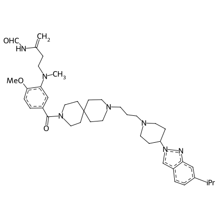 C=C(CCN(C)c1cc(C(=O)N2CCC3(CCN(CCCN4CCC(n5cc6ccc(C(C)C)cc6n5)CC4)CC3)CC2)ccc1OC)NC=O